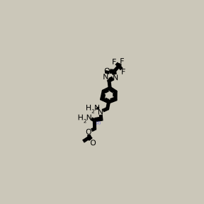 CC(=O)OC/C(N)=C/N(N)Cc1ccc(-c2noc(C(F)(F)F)n2)cc1